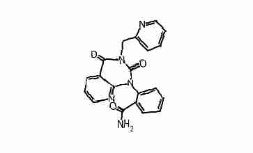 NC(=O)c1ccccc1-n1c(=O)n(Cc2ccccn2)c(=O)c2cccnc21